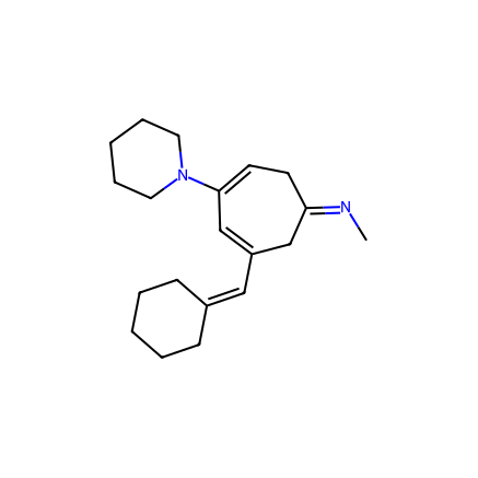 C/N=C1/CC=C(N2CCCCC2)C=C(C=C2CCCCC2)C1